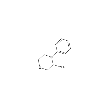 NC1COCCN1c1ccccc1